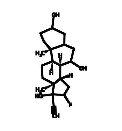 C#CC1(O)C(F)C[C@H]2[C@@H]3C(O)CC4CC(O)CC[C@]4(C)[C@@H]3CC[C@@]21C